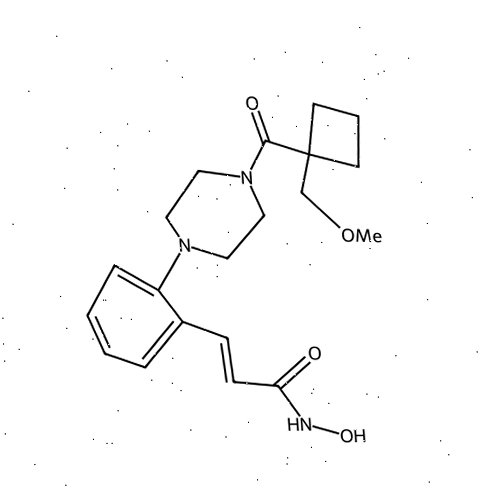 COCC1(C(=O)N2CCN(c3ccccc3C=CC(=O)NO)CC2)CCC1